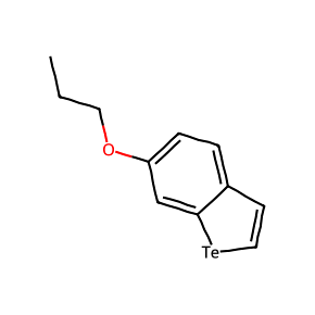 CCCOc1ccc2cc[te]c2c1